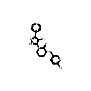 O=C1[C@@H](Cc2ccc(Cl)nc2)CCCN1c1[nH]nc(-c2ccncc2)c1Cl